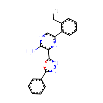 N#CCc1ccccc1-c1cnc(N)c(-c2nnc(-c3ccccc3)o2)n1